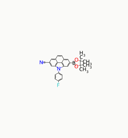 CC1(C)OB(c2cc3ccc4cc(C#N)cc5c4c3c(c2)n5-c2ccc(F)cc2)OC1(C)C